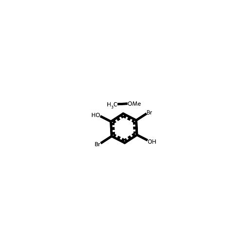 COC.Oc1cc(Br)c(O)cc1Br